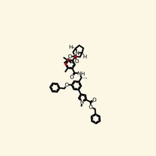 Cc1ccc(N2C[C@H]3CC[C@@H](C2)N3C(=O)OC(C)(C)C)cc1C(=O)N[C@H](C)c1cc(OCc2ccccc2)cc(-c2cc(C(=O)OCc3ccccc3)n(C)c2)c1